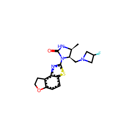 C[C@@H]1NC(=O)N(c2nc3c4c(ccc3s2)OCC4)[C@@H]1CN1CC(F)C1